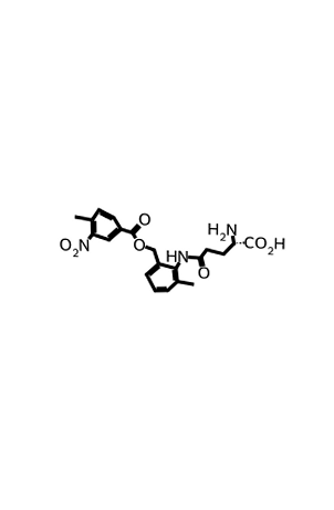 Cc1ccc(C(=O)OCc2cccc(C)c2NC(=O)CC[C@H](N)C(=O)O)cc1[N+](=O)[O-]